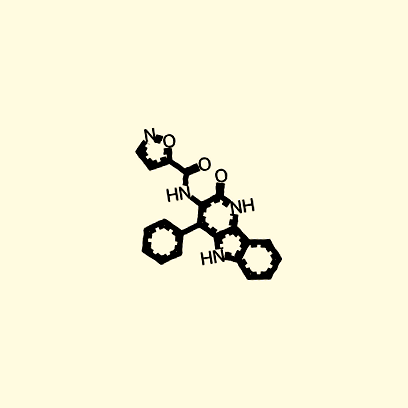 O=C(Nc1c(-c2ccccc2)c2[nH]c3ccccc3c2[nH]c1=O)c1ccno1